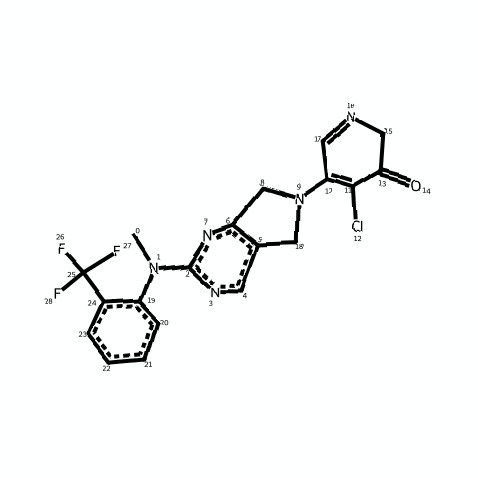 CN(c1ncc2c(n1)CN(C1=C(Cl)C(=O)CN=C1)C2)c1ccccc1C(F)(F)F